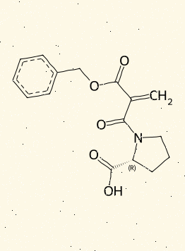 C=C(C(=O)OCc1ccccc1)C(=O)N1CCC[C@@H]1C(=O)O